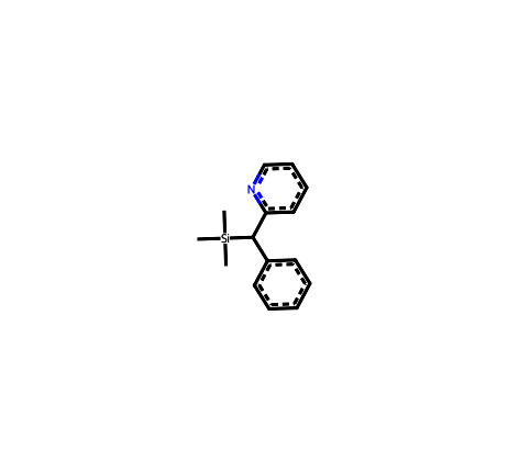 C[Si](C)(C)C(c1ccccc1)c1ccccn1